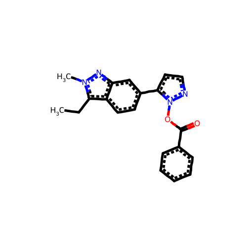 CCc1c2ccc(-c3ccnn3OC(=O)c3ccccc3)cc2nn1C